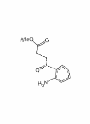 COC(=O)CCC(=O)c1ccccc1N